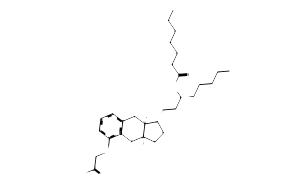 CCCCCCC(=O)O[C@@H](CCCCC)CC[C@@H]1[C@H]2Cc3cccc(OCC(=O)O)c3C[C@H]2C[C@H]1O